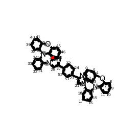 c1ccc2c(c1)Oc1ccccc1N2c1ccccc1-n1cc(-c2ccc(-c3cn(-c4ccccc4N4c5ccccc5Oc5ccccc54)nn3)cc2)nn1